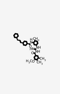 COc1cc(C(=O)NC(=N)Nc2ccc(C)c(NC(=O)c3ccc(/C=C/Cc4ccccc4)cc3)c2)cc(C)c1C